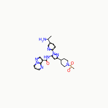 CC(N)c1ccc(-n2nc(C3CCN(S(C)(=O)=O)CC3)cc2NC(=O)c2cnn3cccnc23)nc1